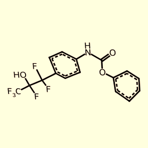 O=C(Nc1ccc(C(F)(F)C(O)(F)C(F)(F)F)cc1)Oc1ccccc1